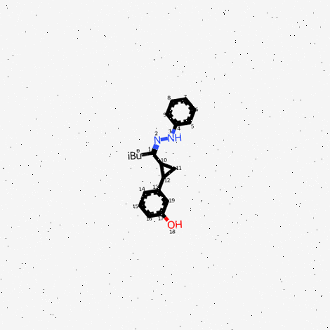 CCC(C)C(=NNc1ccccc1)C1CC1c1cccc(O)c1